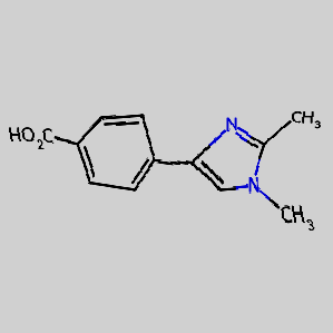 Cc1nc(-c2ccc(C(=O)O)cc2)cn1C